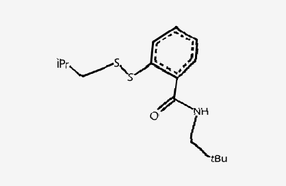 CC(C)CSSc1ccccc1C(=O)NCC(C)(C)C